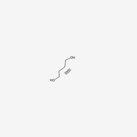 C#C.OCCCCO